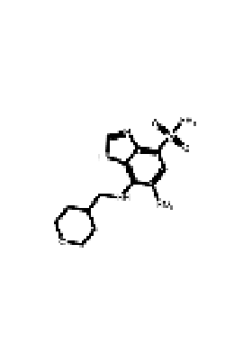 NS(=O)(=O)c1cc([N+](=O)[O-])c(NCC2CCOCC2)c2[nH]cnc12